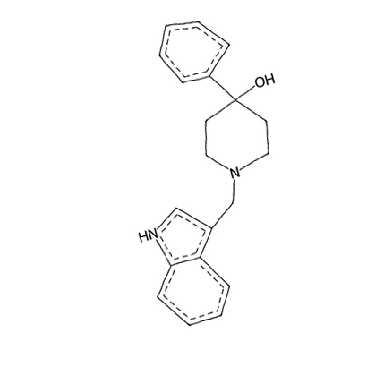 OC1(c2ccccc2)CCN(Cc2c[nH]c3ccccc23)CC1